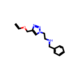 C=COCc1cn(CCNCc2ccccc2)nn1